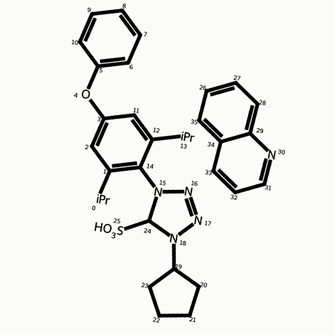 CC(C)c1cc(Oc2ccccc2)cc(C(C)C)c1N1N=NN(C2CCCC2)C1S(=O)(=O)O.c1ccc2ncccc2c1